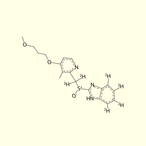 [2H]c1c([2H])c([2H])c2[nH]c([S+]([O-])C([2H])([2H])c3nccc(OCCCOC)c3C)nc2c1[2H]